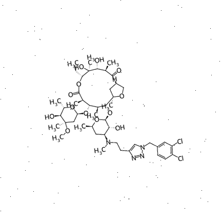 CC[C@H]1OC(=O)[C@H](C)[C@@H](O[C@H]2C[C@@](C)(OC)[C@@H](O)[C@H](C)O2)[C@H](C)[C@@H](O[C@@H]2O[C@H](C)C[C@H](N(C)CCc3cn(Cc4ccc(Cl)c(Cl)c4)nn3)[C@H]2O)[C@@]2(C)C[C@@H](CO2)C(=O)[C@H](C)[C@@H](O)[C@]1(C)O